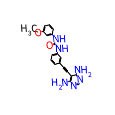 COc1cccc(NC(=O)Nc2cccc(C#Cc3c(N)ncnc3N)c2)c1